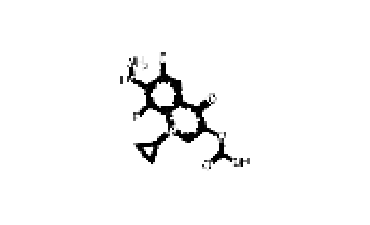 NNc1c(F)cc2c(=O)c(OC(=O)O)cn(C3CC3)c2c1F